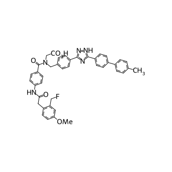 COc1ccc(CC(=O)Nc2ccc(C(=O)N(CC(=O)O)Cc3ccc(-c4n[nH]c(-c5ccc(-c6ccc(C)cc6)cc5)n4)cc3)cc2)c(CF)c1